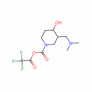 CN(C)CC1CN(C(=O)OC(=O)C(F)(F)F)CCC1O